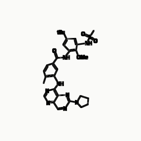 COc1c(NC(=O)c2ccc(C)c(Nc3ncnc4cnc(N5CCCC5)nc34)c2)cc(C(C)(C)C)cc1NS(C)(=O)=O